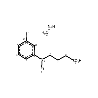 CCN(CCCS(=O)(=O)O)c1cccc(C)c1.O.[NaH]